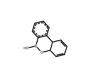 OB1OC2C=CC=CC2c2ccccc21